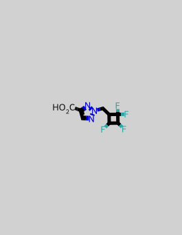 O=C(O)c1cnn(CC2C(F)C(F)C2(F)F)n1